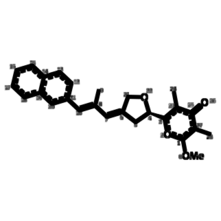 COc1oc([C@H]2C/C(=C/C(C)=C/c3ccc4ccccc4c3)CO2)c(C)c(=O)c1C